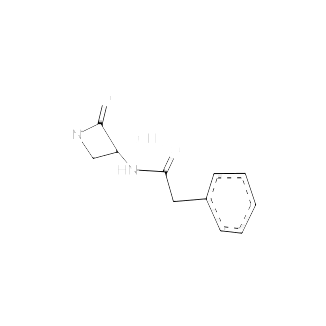 C[C@]1(NC(=O)Cc2ccccc2)C[N]C1=O